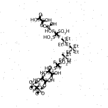 CC[N+](C)(CC)CC.CC[N+](C)(CC)CC.CC[N+](C)(CC)CC.O=C(O)C(=O)O.O=C(O)C(=O)O.O=C(O)C(=O)O.O=S(=O)(O)C(F)(F)S(=O)(=O)O.O=S(=O)(O)C(F)(F)S(=O)(=O)O.O=S(=O)([O-])C(F)(F)S(=O)(=O)[O-].[O-]B(O)O